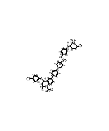 CC(=O)N1c2ccc(-c3ccc(N4CCC(N(C)Cc5ccc(NC6CCC(=O)NC6=O)cc5)CC4)cc3)cc2C(Nc2ccc(Cl)cc2)CC1C